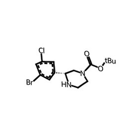 CC(C)(C)OC(=O)N1CCN[C@H](c2cc(Cl)cc(Br)c2)C1